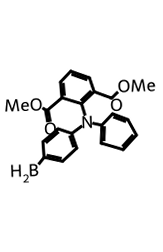 Bc1ccc(N(c2ccccc2)c2c(C(=O)OC)cccc2C(=O)OC)cc1